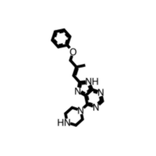 C/C(=C\c1nc2c(N3CCNCC3)ncnc2[nH]1)COc1ccccc1